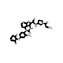 C=CC(=O)N1CCC(NC(=O)c2sc3nccc4c3c2NC(=O)N4c2ccc(Oc3c(F)cccc3F)cc2C)C1